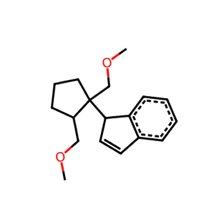 COCC1CCCC1(COC)C1C=Cc2ccccc21